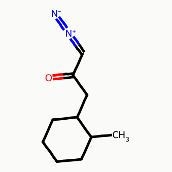 CC1CCCCC1CC(=O)C=[N+]=[N-]